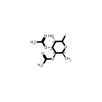 CC(=O)O[C@H]1[C@H](OC(C)=O)[C@H](O)C(I)O[C@H]1C